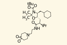 CC(C)[C@H](C[C@@H]1OC(C)(C)N(C(=O)OC(C)(C)C)[C@H]1CC1CCCCC1)C(=O)NCCN1CCS(=O)(=O)CC1